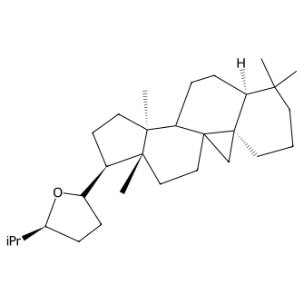 CC(C)[C@@H]1CCC([C@H]2CC[C@@]3(C)C4CC[C@H]5C(C)(C)CCC[C@@]56CC46CC[C@]23C)O1